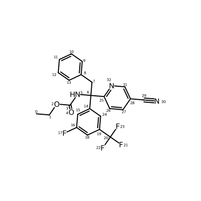 CCOC(=O)NC(Cc1ccccc1)(c1cc(F)cc(C(F)(F)F)c1)c1ccc(C#N)cn1